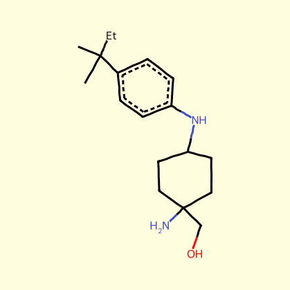 CCC(C)(C)c1ccc(NC2CCC(N)(CO)CC2)cc1